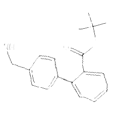 CC(C)(C)OC(=O)c1ccccc1-c1ccc(CN)cc1